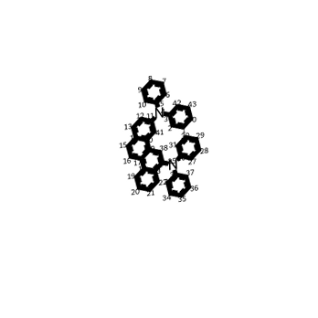 c1ccc(N(c2ccccc2)c2ccc3ccc4c5ccccc5c(N(c5ccccc5)c5ccccc5)cc4c3c2)cc1